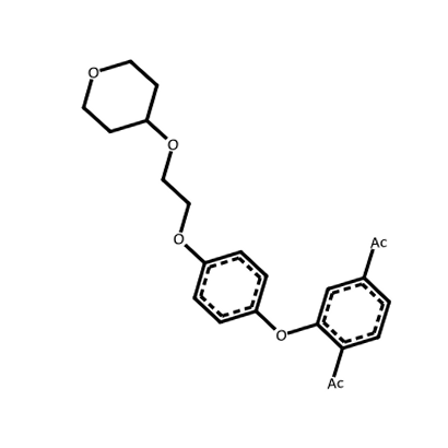 CC(=O)c1ccc(C(C)=O)c(Oc2ccc(OCCOC3CCOCC3)cc2)c1